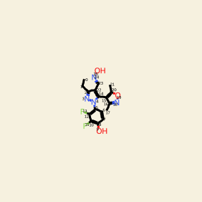 CCc1nn(-c2ccc(O)c(F)c2F)c(-c2c(C)noc2C)c1C=NO